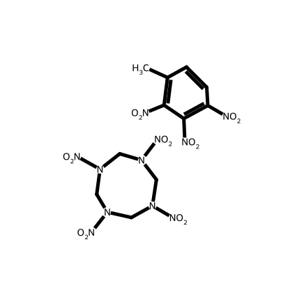 Cc1ccc([N+](=O)[O-])c([N+](=O)[O-])c1[N+](=O)[O-].O=[N+]([O-])N1CN([N+](=O)[O-])CN([N+](=O)[O-])CN([N+](=O)[O-])C1